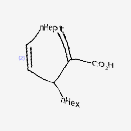 C=C(C(=O)O)C(/C=C\CCCCCCC)CCCCCC